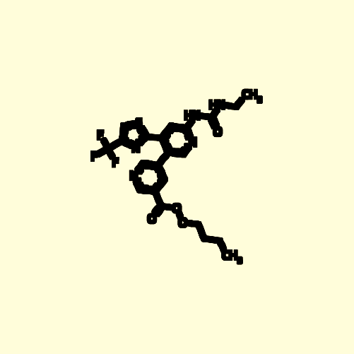 CCCCOOC(=O)c1cncc(-c2cnc(NC(=O)NCC)cc2-c2nc(C(F)(F)F)cs2)c1